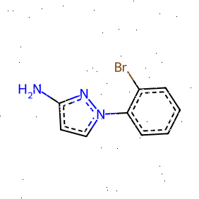 Nc1ccn(-c2ccccc2Br)n1